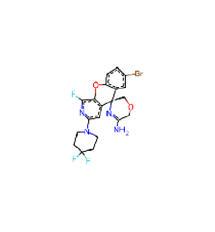 NC1=N[C@@]2(COC1)c1cc(Br)ccc1Oc1c2cc(N2CCC(F)(F)CC2)nc1F